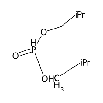 CC(C)C.CC(C)CO[PH](=O)O